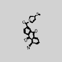 CSC1CCN(C(=O)c2ccc3c(c2)C(=O)c2cccc(C#N)c2C3=O)CC1